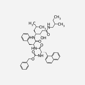 CCC(C)CNC(=O)C[C@H](O)[C@H](CC(C)C)NC(=O)[C@H](Cc1ccccc1)NC(=O)[C@H](Cc1cccc2ccccc12)NC(=O)OCc1ccccc1